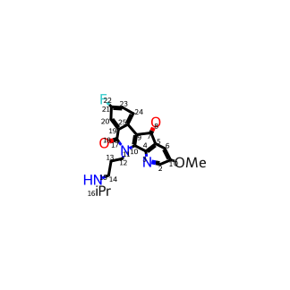 COc1cnc2c(c1)C(=O)c1c-2n(CCCNC(C)C)c(=O)c2cc(F)ccc12